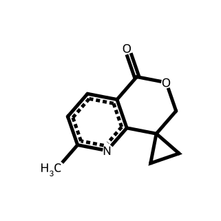 Cc1ccc2c(n1)C1(CC1)COC2=O